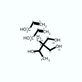 C=CC(=O)O.C=CC(=O)O.CC(O)C(C)(CO)CO